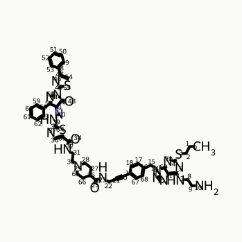 CCCSc1nc(NCCN)c2nnn(Cc3ccc(C#CCNC(=O)C4CCN(CCNC(=O)c5cnc(N/N=C6/C(=O)N(c7nc(-c8ccccc8)cs7)N=C6c6ccccc6)s5)CC4)cc3)c2n1